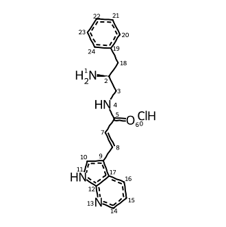 Cl.N[C@H](CNC(=O)/C=C/c1c[nH]c2ncccc12)Cc1ccccc1